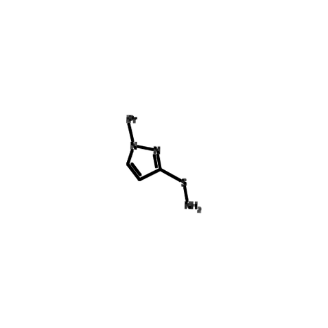 CC(C)n1ccc(SN)n1